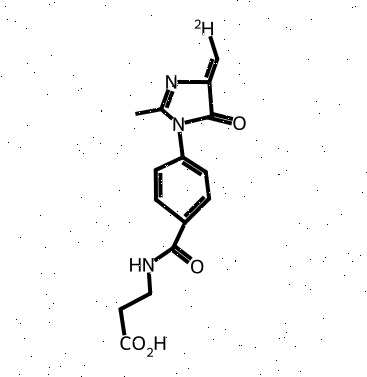 [2H]/C=C1\N=C(C)N(c2ccc(C(=O)NCCC(=O)O)cc2)C1=O